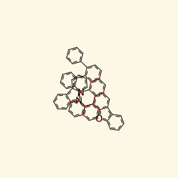 c1ccc(-c2ccccc2-c2ccccc2N(c2ccccc2-c2ccccc2-n2c3ccccc3c3ccccc32)c2ccccc2-c2cccc3c2oc2ccccc23)cc1